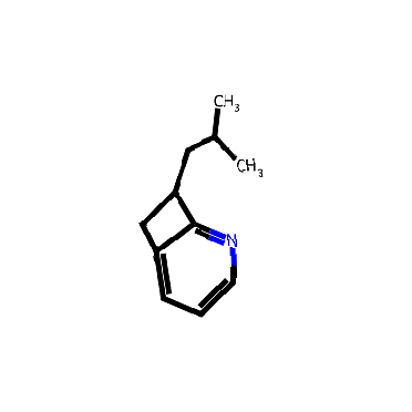 CC(C)CC1Cc2cccnc21